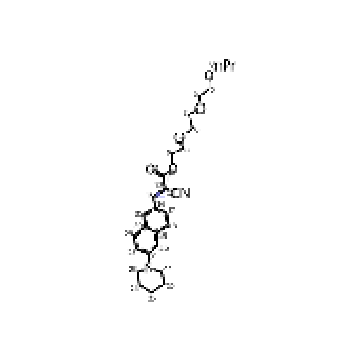 CCCOCCOCCOCCOC(=O)/C(C#N)=C/c1ccc2cc(N3CCCCC3)ccc2c1